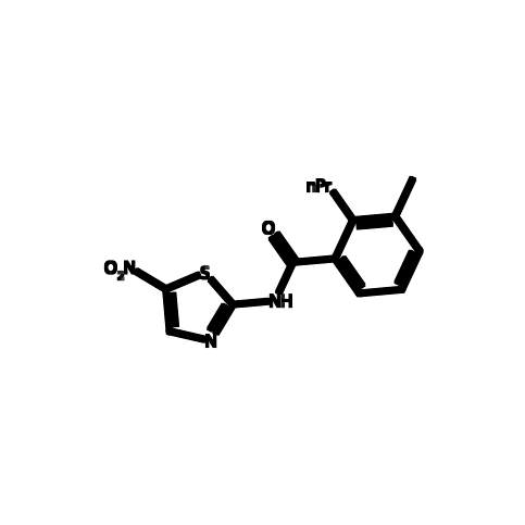 CCCc1c(C)cccc1C(=O)Nc1ncc([N+](=O)[O-])s1